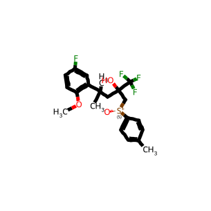 COc1ccc(F)cc1C(C)(C)CC(O)(C[S@@+]([O-])c1ccc(C)cc1)C(F)(F)F